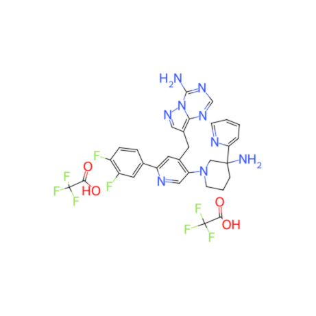 Nc1ncnc2c(Cc3cc(-c4ccc(F)c(F)c4)ncc3N3CCCC(N)(c4ccccn4)C3)cnn12.O=C(O)C(F)(F)F.O=C(O)C(F)(F)F